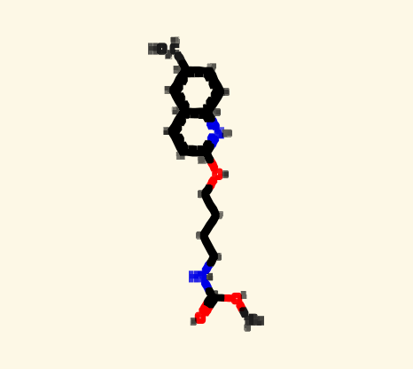 CC(C)(C)OC(=O)NCCCCOc1ccc2cc(C(=O)O)ccc2n1